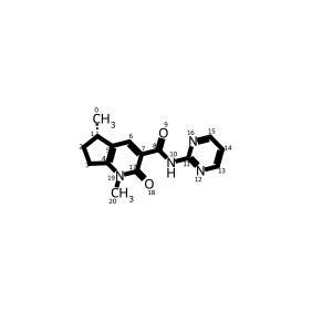 C[C@H]1CCc2c1cc(C(=O)Nc1ncccn1)c(=O)n2C